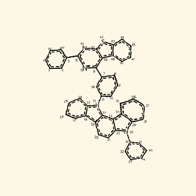 c1ccc(-c2nc(-c3cccc(-n4c5ccccc5c5ccc6c(c7ccccc7n6-c6ccccc6)c54)c3)c3c(n2)sc2ccccc23)cc1